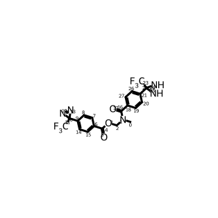 CN(COC(=O)c1ccc(C2(C(F)(F)F)N=N2)cc1)C(=O)c1ccc(C2(C(F)(F)F)NN2)cc1